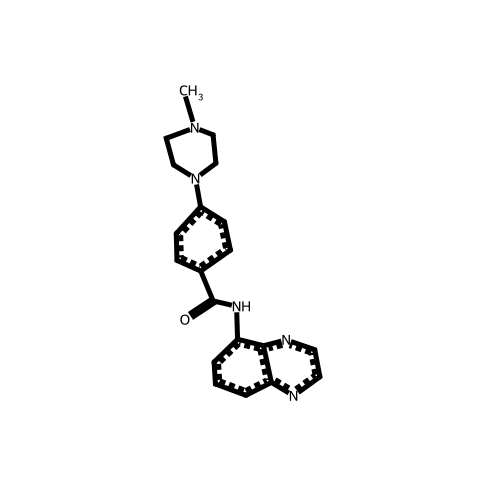 CN1CCN(c2ccc(C(=O)Nc3cccc4nccnc34)cc2)CC1